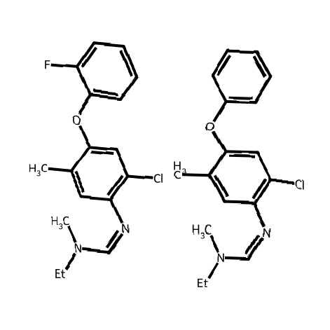 CCN(C)/C=N\c1cc(C)c(Oc2ccccc2)cc1Cl.CCN(C)/C=N\c1cc(C)c(Oc2ccccc2F)cc1Cl